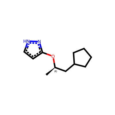 C[C@H](CC1CCCC1)Oc1cc[nH]n1